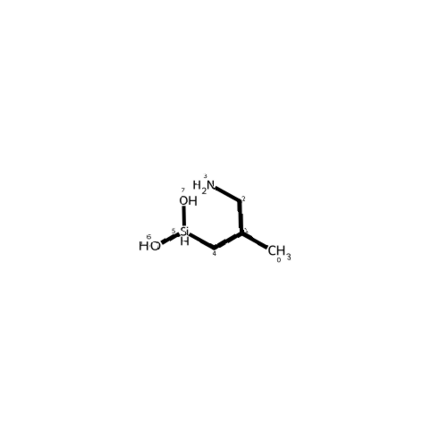 CC(CN)C[SiH](O)O